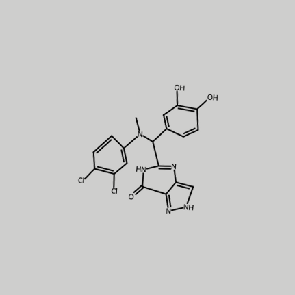 CN(c1ccc(Cl)c(Cl)c1)C(c1ccc(O)c(O)c1)c1nc2c[nH]nc2c(=O)[nH]1